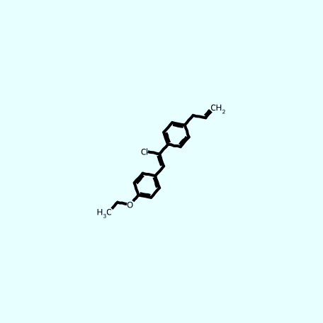 C=CCc1ccc(/C(Cl)=C/c2ccc(OCC)cc2)cc1